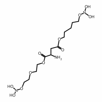 NC(CC(=O)OCCCCCON(O)O)C(=O)OCCOCCON(O)O